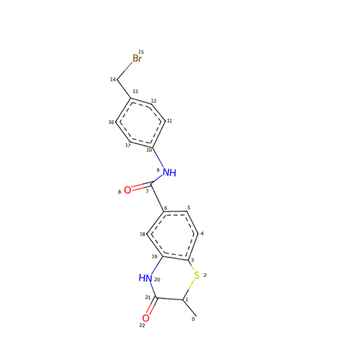 CC1Sc2ccc(C(=O)Nc3ccc(CBr)cc3)cc2NC1=O